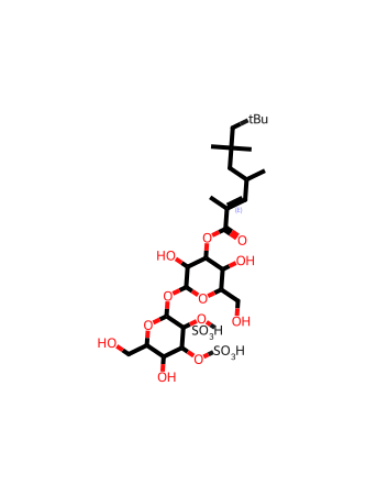 C/C(=C\C(C)CC(C)(C)CC(C)(C)C)C(=O)OC1C(O)C(CO)OC(OC2OC(CO)C(O)C(OS(=O)(=O)O)C2OS(=O)(=O)O)C1O